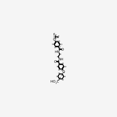 O=C(NCCNC(=O)c1ccc(O[C@H]2CC[C@@H](C(=O)O)CC2)cc1)c1ccc(OC(F)F)cc1